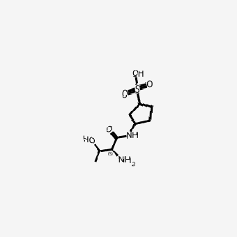 CC(O)[C@H](N)C(=O)NC1CCC(S(=O)(=O)O)C1